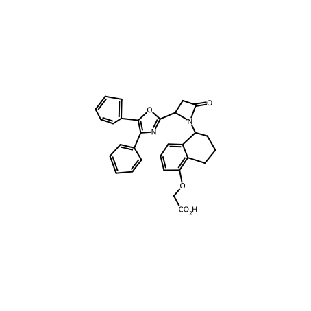 O=C(O)COc1cccc2c1CCCC2N1C(=O)CC1c1nc(-c2ccccc2)c(-c2ccccc2)o1